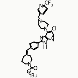 CC(C)(C)OC(=O)N1CCC/C(=C/c2ccc(-c3nc4c(N5CCN(Cc6ccc(C(F)(F)F)nc6)CC5)c(Cl)cnc4[nH]3)cc2)CC1